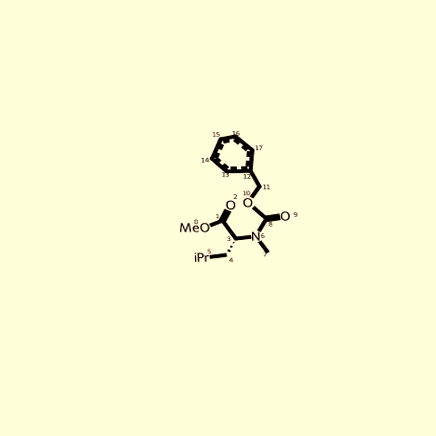 COC(=O)[C@@H](CC(C)C)N(C)C(=O)OCc1ccccc1